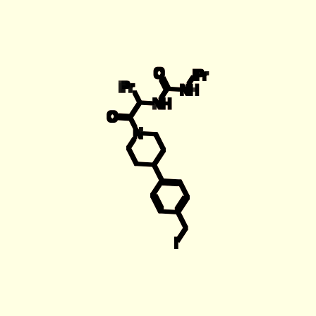 CC(C)NC(=O)NC(C(=O)N1CCC(c2ccc(CI)cc2)CC1)C(C)C